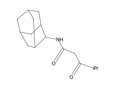 CC(C)C(=O)CC(=O)NC1C2CC3CC(C2)CC1C3